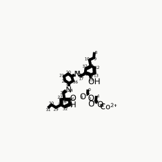 CC(=O)[O-].CC(=O)[O-].CCCc1ccc(O)c(C=NC2CCCC(N=Cc3cc(CCC)ccc3O)C2)c1.[Co+2]